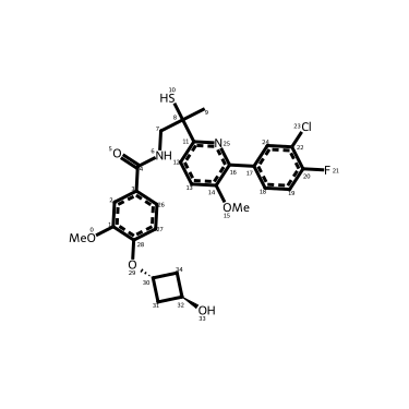 COc1cc(C(=O)NCC(C)(S)c2ccc(OC)c(-c3ccc(F)c(Cl)c3)n2)ccc1O[C@H]1C[C@H](O)C1